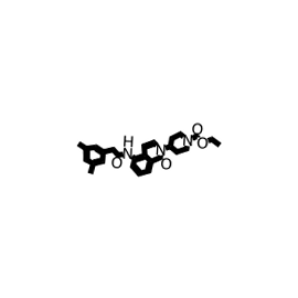 CCOC(=O)N1CCC(n2ccc3c(NC(=O)Cc4cc(C)cc(C)c4)cccc3c2=O)CC1